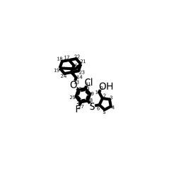 OCC1CCCC1Sc1cc(Cl)c(OCC23CC4CC(CC(C4)C2)C3)cc1F